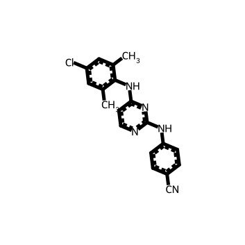 Cc1cc(Cl)cc(C)c1Nc1ccnc(Nc2ccc(C#N)cc2)n1